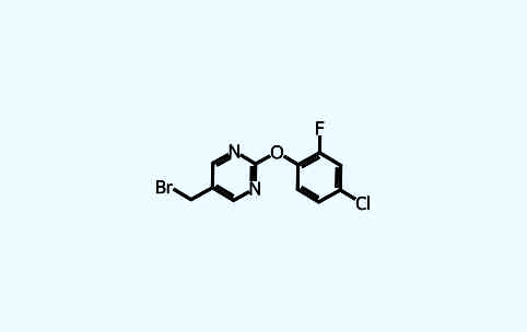 Fc1cc(Cl)ccc1Oc1ncc(CBr)cn1